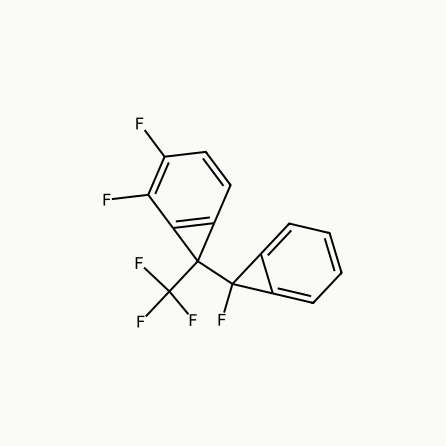 Fc1ccc2c(c1F)C2(C(F)(F)F)C1(F)c2ccccc21